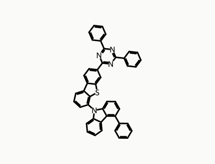 c1ccc(-c2nc(-c3ccccc3)nc(-c3ccc4c(c3)sc3c(-n5c6ccccc6c6c(-c7ccccc7)cccc65)cccc34)n2)cc1